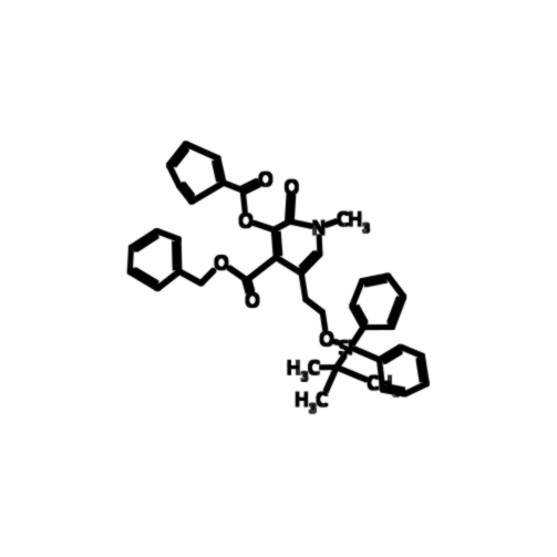 Cn1cc(CCO[Si](c2ccccc2)(c2ccccc2)C(C)(C)C)c(C(=O)OCc2ccccc2)c(OC(=O)c2ccccc2)c1=O